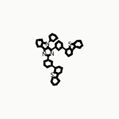 c1ccc(-n2c3ccccc3c3nc(-c4cccc(-c5cccc6c5sc5ccccc56)c4)nc(-c4cccc(-c5cccc6c5sc5ccccc56)c4)c32)cc1